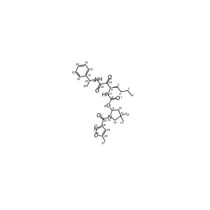 CCCC[C@@H](NC(=O)OC1CC(C)(C)CN1C(=O)c1cc(C)on1)C(=O)C(=O)NC(C)c1ccccc1